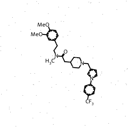 COc1ccc(CCN(C)C(=O)CC2CCN(Cc3ccn(-c4ccc(C(F)(F)F)cc4)c3)CC2)cc1OC